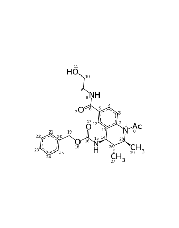 CC(=O)N1c2ccc(C(=O)NCCO)cc2[C@H](NC(=O)OCc2ccccc2)[C@@H](C)[C@@H]1C